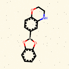 c1ccc2c(c1)OB(c1ccc3c(c1)NCCO3)O2